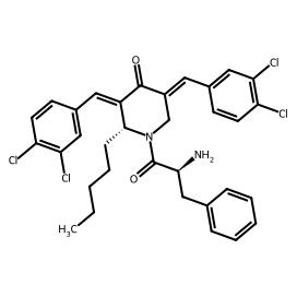 CCCCC[C@@H]1/C(=C\c2ccc(Cl)c(Cl)c2)C(=O)/C(=C/c2ccc(Cl)c(Cl)c2)CN1C(=O)[C@@H](N)Cc1ccccc1